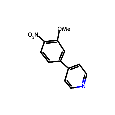 COc1cc(-c2ccncc2)ccc1[N+](=O)[O-]